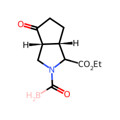 BC(=O)N1C[C@@H]2C(=O)CC[C@@H]2C1C(=O)OCC